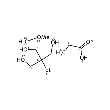 CCC(=O)O.CCC(CO)(CO)CO.COC